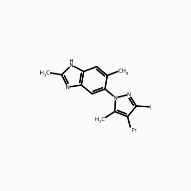 Cc1nc2cc(-n3nc(I)c(C(C)C)c3C)c(C)cc2[nH]1